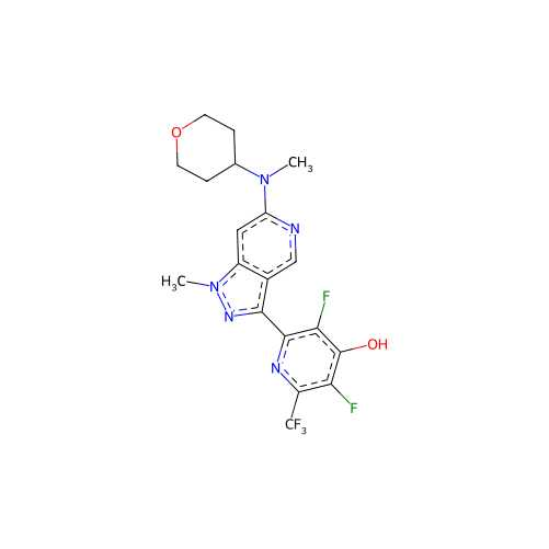 CN(c1cc2c(cn1)c(-c1nc(C(F)(F)F)c(F)c(O)c1F)nn2C)C1CCOCC1